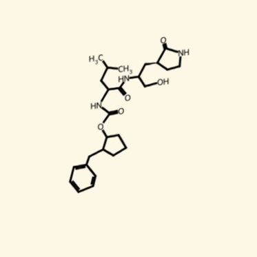 CC(C)CC(NC(=O)OC1CCCC1Cc1ccccc1)C(=O)NC(CO)C[C@@H]1CCNC1=O